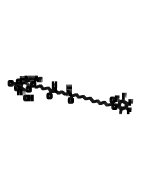 CC(=O)N[C@H]1[C@H](OCCCCC(=O)NCCCNC(=O)CCCCCCCCCCC(=O)Oc2c(C)c(F)c(F)c(F)c2F)O[C@H](CO)[C@@H]2OC(=O)O[C@H]12